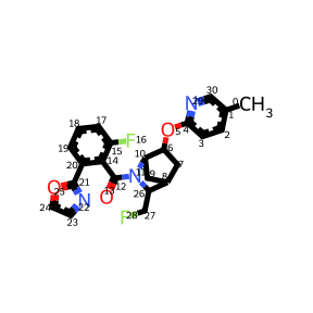 Cc1ccc(OC2CC3CC2N(C(=O)c2c(F)cccc2-c2ncco2)C3CF)nc1